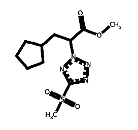 COC(=O)C(CC1CCCC1)n1nnc(S(C)(=O)=O)n1